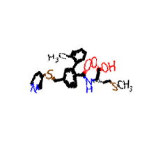 CSCC[C@H](NC(=O)c1ccc(CSc2cccnc2)cc1-c1ccccc1C)C(=O)O